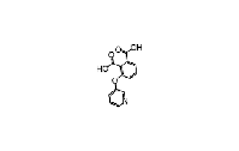 O=C(O)c1cccc(Oc2cccnc2)c1C(=O)O